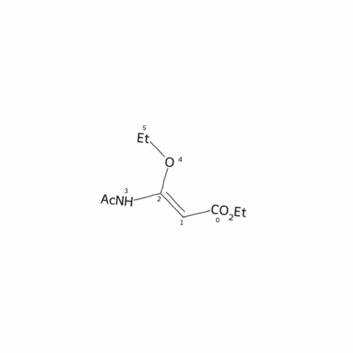 CCOC(=O)C=C(NC(C)=O)OCC